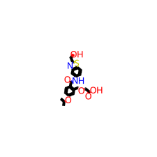 CC(C)Oc1ccc(C(=O)Nc2ccc3sc(CO)nc3c2)c(COCC(=O)O)c1